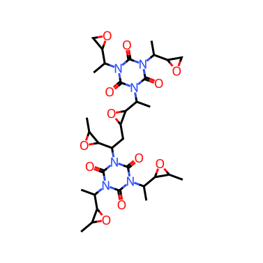 CC1OC1C(C)n1c(=O)n(C(C)C2OC2C)c(=O)n(C(CC2OC2C(C)n2c(=O)n(C(C)C3CO3)c(=O)n(C(C)C3CO3)c2=O)C2OC2C)c1=O